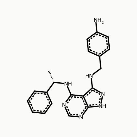 C[C@H](Nc1ncnc2[nH]nc(NCc3ccc(N)cc3)c12)c1ccccc1